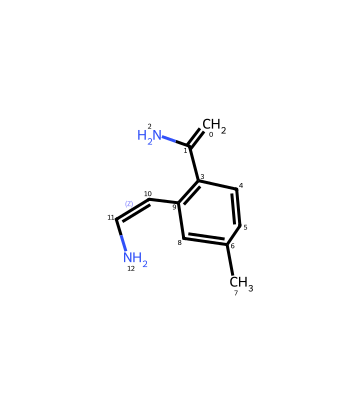 C=C(N)c1ccc(C)cc1/C=C\N